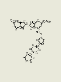 COc1cc(OCc2csc(N3CCN(c4ccccc4)CC3)n2)c2cc(-c3cn4nc(C)ccc4n3)oc2c1